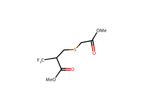 COC(=O)CSCC(C(=O)OC)C(F)(F)F